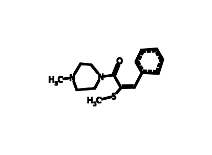 CS/C(=C/c1ccccc1)C(=O)N1CCN(C)CC1